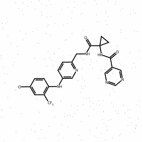 O=C(NC1(C(=O)NCc2ccc(Nc3ccc(Cl)cc3C(F)(F)F)cn2)CC1)c1cncnc1